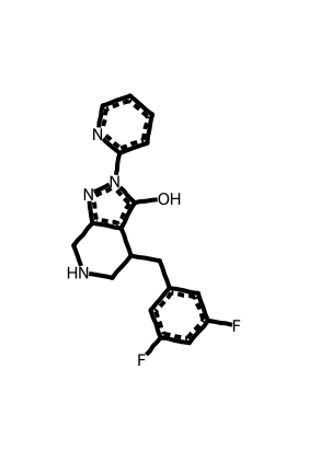 Oc1c2c(nn1-c1ccccn1)CNCC2Cc1cc(F)cc(F)c1